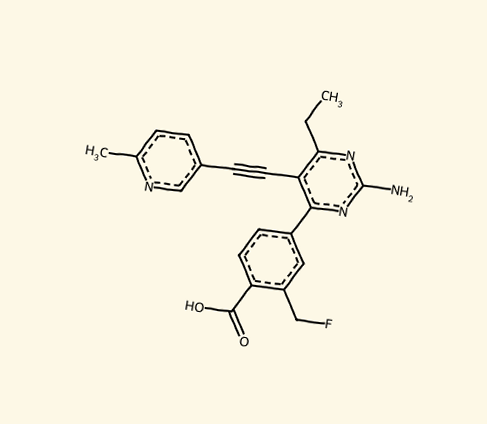 CCc1nc(N)nc(-c2ccc(C(=O)O)c(CF)c2)c1C#Cc1ccc(C)nc1